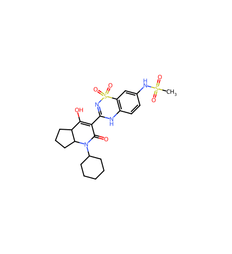 CS(=O)(=O)Nc1ccc2c(c1)S(=O)(=O)N=C(C1=C(O)C3CCCC3N(C3CCCCC3)C1=O)N2